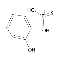 O[PH](O)=S.Oc1ccccc1